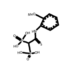 COc1ccccc1NC(=S)C(P(=O)(O)O)P(=O)(O)O